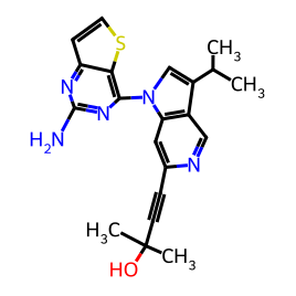 CC(C)c1cn(-c2nc(N)nc3ccsc23)c2cc(C#CC(C)(C)O)ncc12